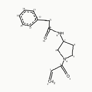 C=CC(=O)N1CCC(NC(=O)Cc2ccccc2)C1